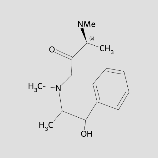 CN[C@@H](C)C(=O)CN(C)C(C)C(O)c1ccccc1